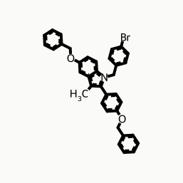 Cc1c(-c2ccc(OCc3ccccc3)cc2)n(Cc2ccc(Br)cc2)c2ccc(OCc3ccccc3)cc12